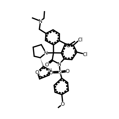 CCN(C)Cc1ccc(OC)c(C2(N3CCC[C@H]3c3ncco3)C(=O)N(S(=O)(=O)c3ccc(OC)cc3)c3cc(Cl)c(Cl)cc32)c1